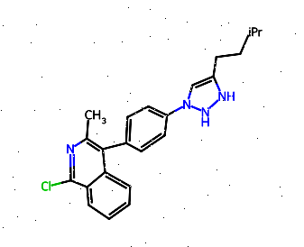 Cc1nc(Cl)c2ccccc2c1-c1ccc(N2C=C(CCC(C)C)NN2)cc1